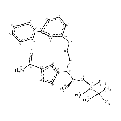 C[C@H](O[Si](C)(C)C(C)(C)C)[C@@H](CCOc1cccc(-c2ccccc2)n1)n1cnc(C(N)=O)c1